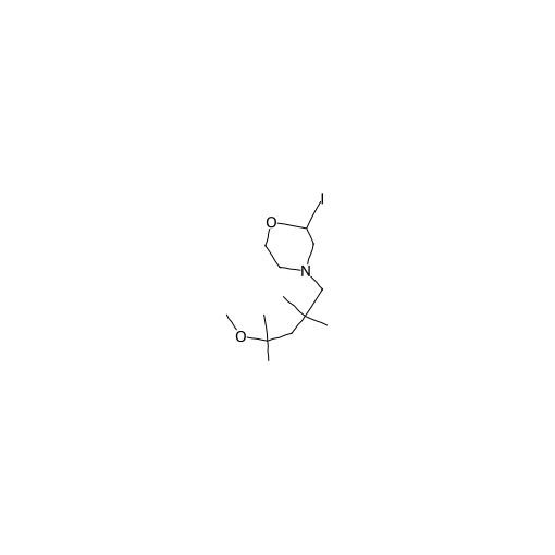 COC(C)(C)CC(C)(C)CN1CCOC(I)C1